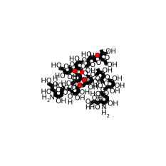 CC1C(O)[C@H](O[C@@H]2OC(CO[C@]3(C(=O)O)CC(O)[C@@H](N)C([C@H](O)C(O)CO)O3)C(O)[C@H](O)C2O)C(CO)O[C@H]1OC1[C@@H](OCC2O[C@@H](OC3C(CO)O[C@@H](OC4C(CO)O[C@@H](O)C(C)[C@H]4O)C(C)[C@H]3O)C(O)[C@@H](OC3OC(CO)[C@H](O)C(O)[C@@H]3O[C@@H]3OC(CO)C(O[C@@H]4OC(CO[C@]5(C(=O)O)CC(O)[C@@H](N)C([C@H](O)C(O)CO)O5)C(O)[C@H](O)C4O)[C@H](O)C3C)C2O)OC(CO)C(O)[C@@H]1O